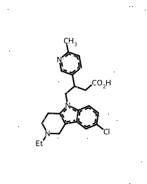 CCN1CCc2c(c3cc(Cl)ccc3n2CC(CC(=O)O)c2ccc(C)nc2)C1